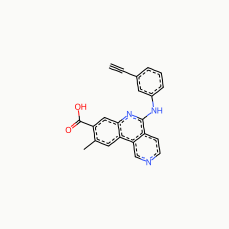 C#Cc1cccc(Nc2nc3cc(C(=O)O)c(C)cc3c3cnccc23)c1